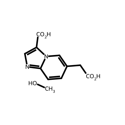 CO.O=C(O)Cc1ccc2ncc(C(=O)O)n2c1